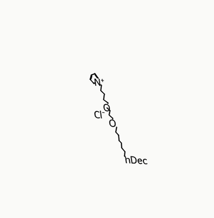 CCCCCCCCCCCCCCCCCCOCCCOCCCCC[n+]1ccccc1.[Cl-]